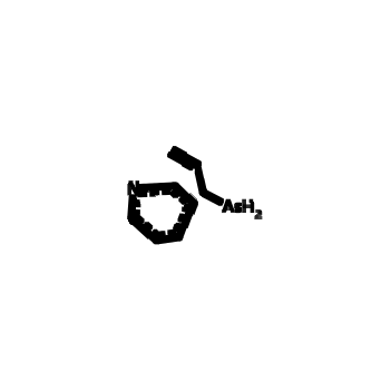 C=CC[AsH2].c1ccncc1